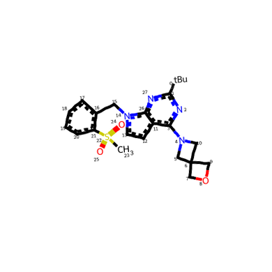 CC(C)(C)c1nc(N2CC3(COC3)C2)c2ccn(Cc3ccccc3S(C)(=O)=O)c2n1